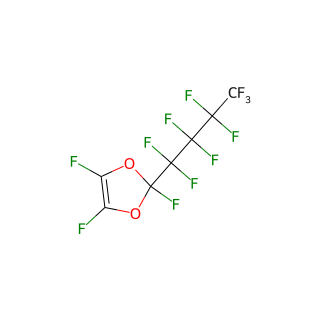 FC1=C(F)OC(F)(C(F)(F)C(F)(F)C(F)(F)C(F)(F)F)O1